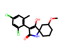 COC1CCCC2(C1)NC(=O)C(c1c(C)cc(Cl)cc1Cl)=C2O